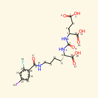 O=C(O)CC[C@H](NC(=O)N[C@@H](CCCCNC(=O)c1ccc(I)cc1F)C(=O)O)C(=O)O